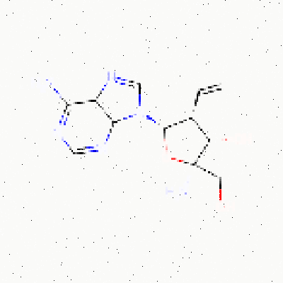 C=C[C@@H]1[C@H](N2C=NC3C(N)=NC=NC32)O[C@](N)(CO)[C@H]1O